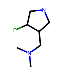 CN(C)CC1C[N]CC1F